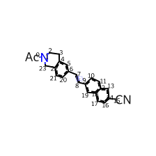 CC(=O)N1CCc2cc(/C=C/c3ccc4cc(C#N)ccc4c3)ccc2C1